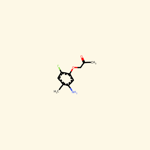 CC(=O)COc1cc(N)c(C)cc1F